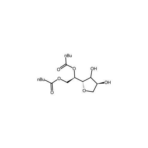 CCCCC(=O)OC[C@@H](OC(=O)CCCC)[C@H]1OC[C@H](O)C1O